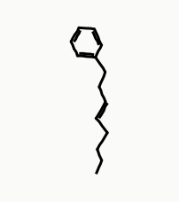 CCCCC=CCCc1ccccc1